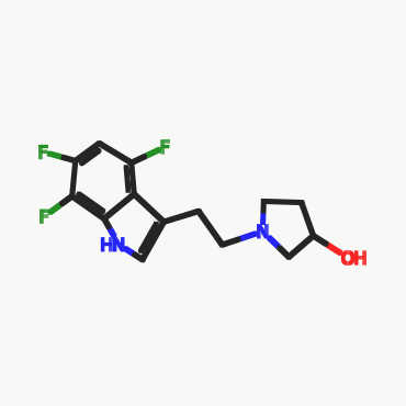 OC1CCN(CCc2c[nH]c3c(F)c(F)cc(F)c23)C1